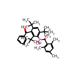 Cc1cc(C)c(C(=O)[PH](=O)c2c(C(C)(C)C)cc(C(C)(C)C)c(C(=O)c3ccccc3)c2C(C)(C)C)c(C)c1